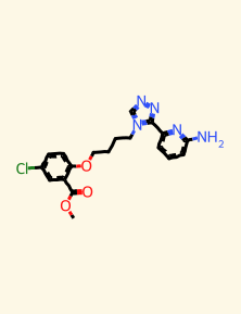 COC(=O)c1cc(Cl)ccc1OCCCCn1cnnc1-c1cccc(N)n1